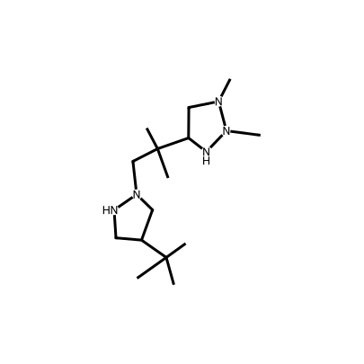 CN1CC(C(C)(C)CN2CC(C(C)(C)C)CN2)NN1C